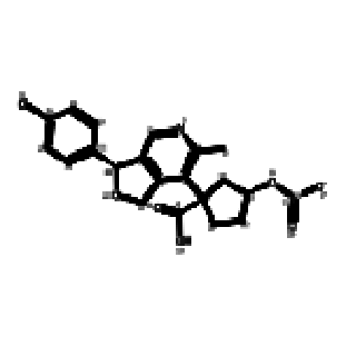 Cc1ncc2c(c1[C@@]1(C(=O)O)CC[C@H](O[N+](=O)[O-])C1)CO[C@H]2c1ccc(Cl)cc1